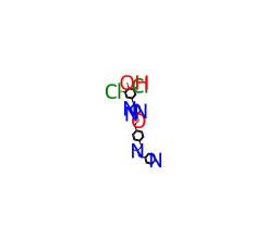 CN(Cc1ccncc1)Cc1ccc(COc2ncc(-c3cc(Cl)c(O)c(Cl)c3)nn2)cc1